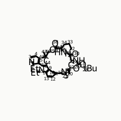 CCc1ncccc1-c1c2c3cc(ccc3n1CC)-c1nc(cs1)C[C@H](NC(=O)OC(C)(C)C)C(=O)N1CCC[C@H](N1)C(=O)OCC(C)(C)C2